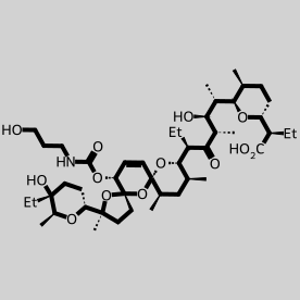 CC[C@@H](C(=O)[C@@H](C)[C@@H](O)[C@H](C)[C@@H]1O[C@@H]([C@@H](CC)C(=O)O)CC[C@@H]1C)[C@H]1O[C@]2(C=C[C@@H](OC(=O)NCCCO)[C@]3(CC[C@@](C)([C@H]4CC[C@](O)(CC)[C@H](C)O4)O3)O2)[C@H](C)C[C@@H]1C